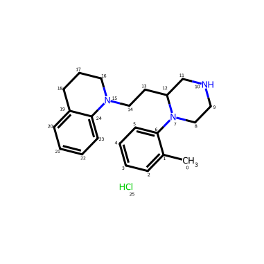 Cc1ccccc1N1CCNCC1CCN1CCCc2ccccc21.Cl